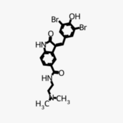 CN(C)CCNC(=O)c1ccc2c(c1)/C(=C/c1cc(Br)c(O)c(Br)c1)C(=O)N2